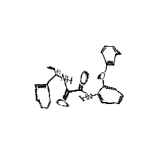 C[C@@H](NC(=O)C(=O)Nc1ccccc1Oc1ccccc1)c1ccccc1